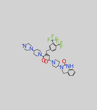 CN1CCN(C2CCN(C(=O)[C@H](CC(=O)N3CCC(N4CCc5ccccc5NC4=O)CC3)Cc3ccc(C(F)(F)F)c(C(F)(F)F)c3)CC2)CC1